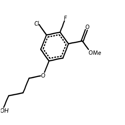 COC(=O)c1cc(OCCCO)cc(Cl)c1F